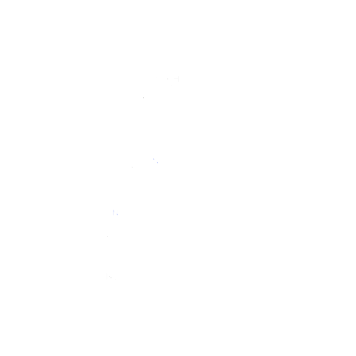 CC(C)(C)OC(=O)N1CCC2(CCCN2Cc2ccc(C(F)(F)F)cc2C#CC(C)(C)C(=O)O)CC1